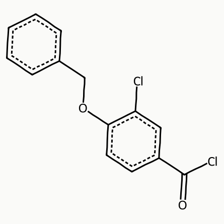 O=C(Cl)c1ccc(OCc2ccccc2)c(Cl)c1